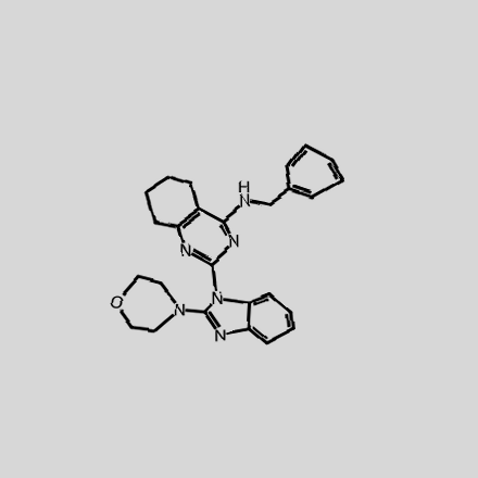 c1ccc(CNc2nc(-n3c(N4CCOCC4)nc4ccccc43)nc3c2CCCC3)cc1